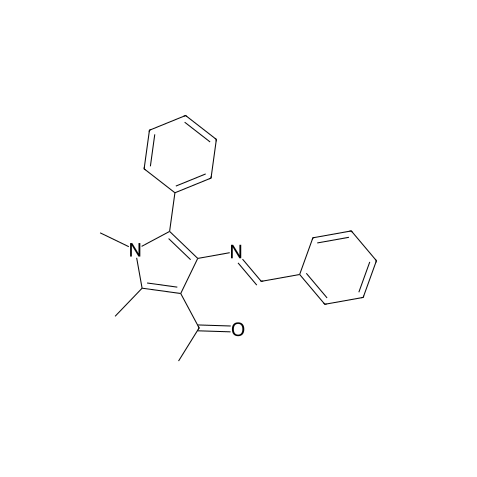 CC(=O)c1c(/N=C/c2ccccc2)c(-c2ccccc2)n(C)c1C